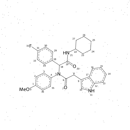 COc1ccc(N(C(=O)Cc2c[nH]c3ccccc23)C(C(=O)NC2CCCCC2)c2ccc(F)cc2)cc1